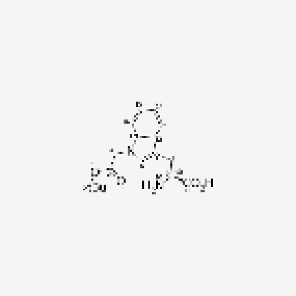 CC(C)(C)OC(=O)CN1C=C(C[C@H](N)C(=O)O)C2C=CC=CC21